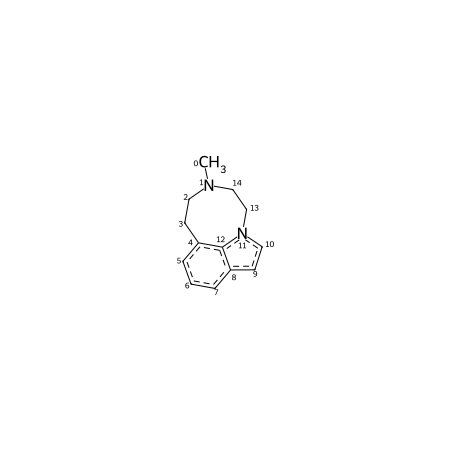 CN1CCc2cccc3ccn(c23)CC1